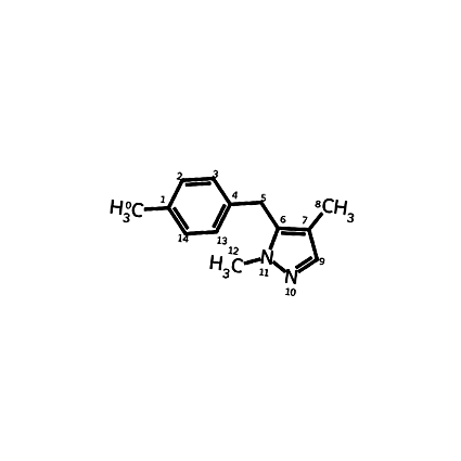 Cc1ccc(Cc2c(C)cnn2C)cc1